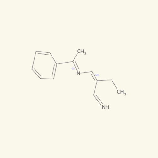 CC/C(C=N)=C/N=C(\C)c1ccccc1